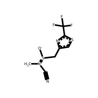 C[N+](C#N)=S([O-])Cc1csc(C(F)(F)F)n1